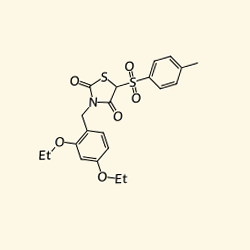 CCOc1ccc(CN2C(=O)SC(S(=O)(=O)c3ccc(C)cc3)C2=O)c(OCC)c1